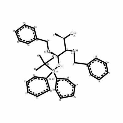 C[C@@H](O)[C@@H](NCc1ccccc1)[C@H](OCc1ccccc1)O[Si](c1ccccc1)(c1ccccc1)C(C)(C)C